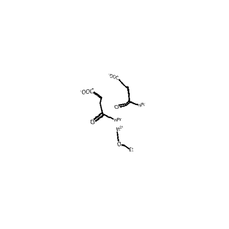 CCCC(=O)CC(=O)[O-].CCCC(=O)CC(=O)[O-].CC[O][In+2]